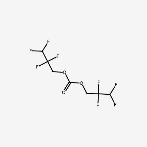 O=C(OCC(F)(F)C(F)F)OCC(F)(F)C(F)F